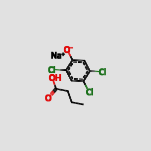 CCCC(=O)O.[Na+].[O-]c1cc(Cl)c(Cl)cc1Cl